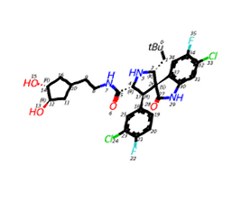 CC(C)(C)C[C@H]1N[C@@H](C(=O)NCCC2C[C@@H](O)[C@H](O)C2)[C@H](c2ccc(F)c(Cl)c2)[C@@]12C(=O)Nc1cc(Cl)c(F)cc12